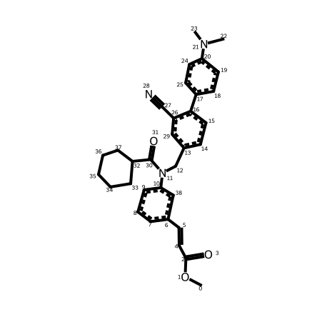 COC(=O)/C=C/c1cccc(N(Cc2ccc(-c3ccc(N(C)C)cc3)c(C#N)c2)C(=O)C2CCCCC2)c1